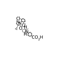 C[C@@H]1[C@@H]2C[C@@H](C[C@H]2OCc2c(C3CC3)cnn2-c2c(Cl)cccc2Cl)N1c1ccc(C(=O)O)cc1